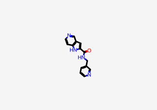 O=C(NCc1cccnc1)c1cc2cnccc2[nH]1